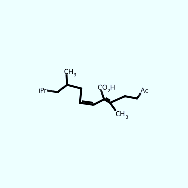 CC(=O)CC/C(C)=C(/C=C\CC(C)CC(C)C)C(=O)O